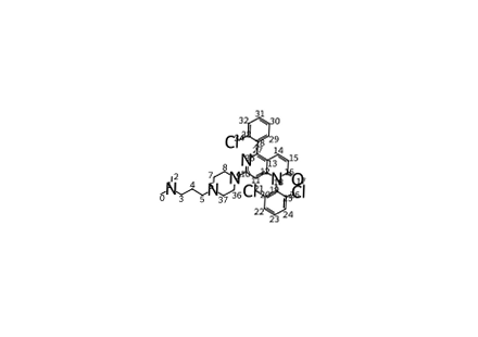 CN(C)CCCN1CCN(c2cc3c(ccc(=O)n3-c3c(Cl)cccc3Cl)c(-c3ccccc3Cl)n2)CC1